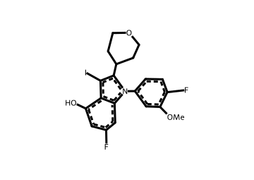 COc1cc(-n2c(C3CCOCC3)c(I)c3c(O)cc(F)cc32)ccc1F